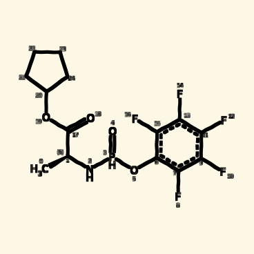 C[C@H](N[PH](=O)Oc1c(F)c(F)c(F)c(F)c1F)C(=O)OC1CCCC1